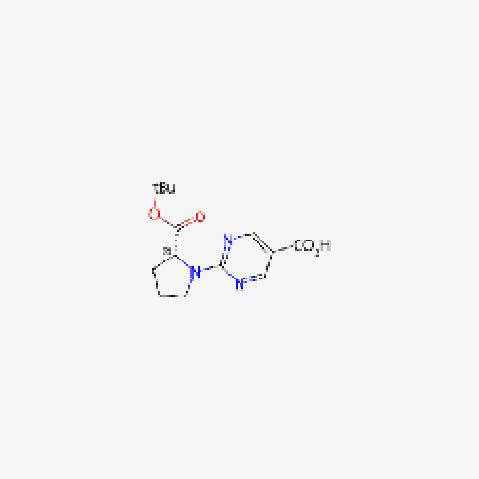 CC(C)(C)OC(=O)[C@H]1CCCN1c1ncc(C(=O)O)cn1